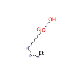 CC/C=C\C/C=C\C/C=C\CCCCCCCC(=O)OCCCCO